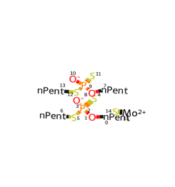 CCCCCOP([O-])(=S)SCCCCC.CCCCCOP([O-])(=S)SCCCCC.[S]=[Mo+2]